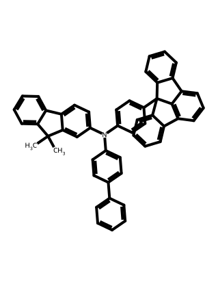 CC1(C)c2ccccc2-c2ccc(N(c3ccc(-c4ccccc4)cc3)c3ccc(C45c6ccccc6-c6cccc(c64)-c4ccccc45)cc3)cc21